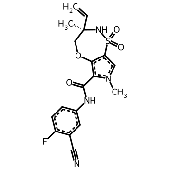 C=C[C@]1(C)COc2c(cn(C)c2C(=O)Nc2ccc(F)c(C#N)c2)S(=O)(=O)N1